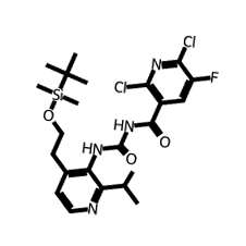 CC(C)c1nccc(CCO[Si](C)(C)C(C)(C)C)c1NC(=O)NC(=O)c1cc(F)c(Cl)nc1Cl